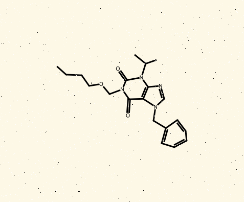 CCCCOCn1c(=O)c2c(ncn2Cc2ccccc2)n(C(C)C)c1=O